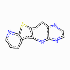 c1cnc2sc3cc4nccnc4nc3c2c1